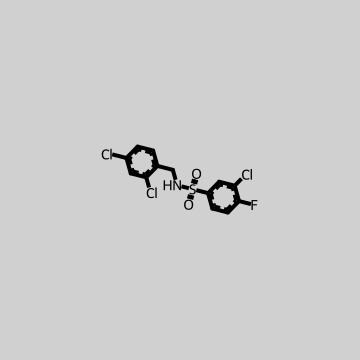 O=S(=O)(NCc1ccc(Cl)cc1Cl)c1ccc(F)c(Cl)c1